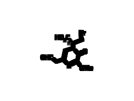 COc1nc(CC=O)cn([C@@H](CC(C)C)C(=O)O)c1=O